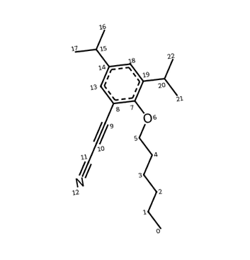 CCCCCCOc1c(C#CC#N)cc(C(C)C)cc1C(C)C